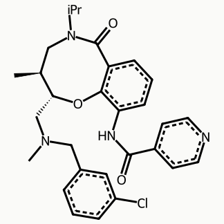 CC(C)N1C[C@H](C)[C@@H](CN(C)Cc2cccc(Cl)c2)Oc2c(NC(=O)c3ccncc3)cccc2C1=O